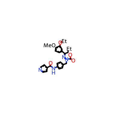 CCOc1cc(C2=NN(Cc3ccc(NC(=O)c4ccncc4)cc3)C(=O)OC2CC)ccc1OC